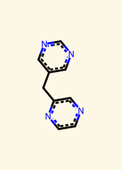 c1cnc(Cc2cncnc2)cn1